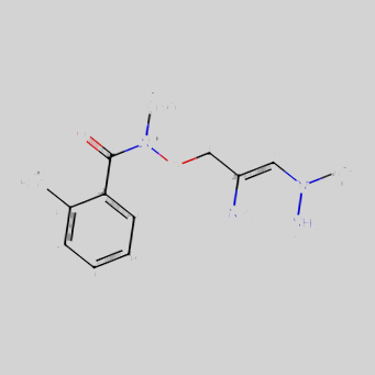 CCCN(N)/C=C(\N)CON(C=O)C(=O)c1ccccc1C